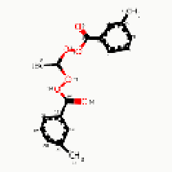 [CH2]C(C)(C)[C](OOC(=O)c1cccc(C)c1)OOC(=O)c1cccc(C)c1